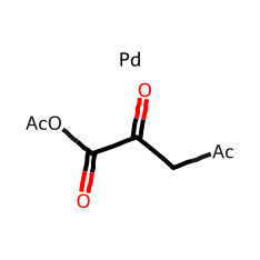 CC(=O)CC(=O)C(=O)OC(C)=O.[Pd]